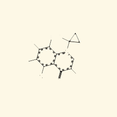 Nc1c(F)c(F)c(F)c2c1c(=O)c(C(=O)O)cn2C1(F)CC1